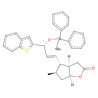 C[C@@H]1C[C@@H]2OC(=O)C[C@@H]2[C@H]1/C=C/[C@@H](O[Si](c1ccccc1)(c1ccccc1)C(C)(C)C)c1cc2ccccc2s1